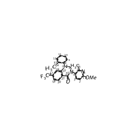 COc1ccc(N2CN(c3ccccc3C)c3cc(C(F)(F)F)ccc3C2=O)c(C)n1